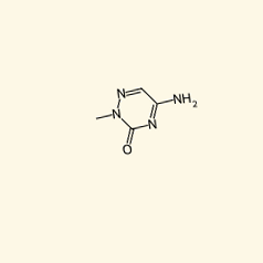 Cn1ncc(N)nc1=O